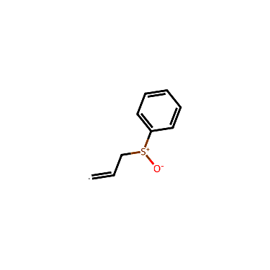 [CH]=CC[S+]([O-])c1ccccc1